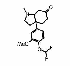 COc1cc(C23CCC(=O)CC2N(C)CC3)ccc1OC(F)F